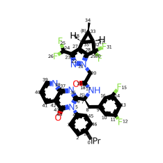 CC(C)c1ccc(-n2c([C@H](Cc3cc(F)cc(F)c3)NC(=O)Cn3nc(C(F)F)c4c3C(F)(F)[C@@H]3[C@H](C)[C@H]43)nc3ncccc3c2=O)cc1